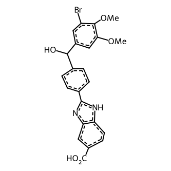 COc1cc(C(O)c2ccc(-c3nc4cc(C(=O)O)ccc4[nH]3)cc2)cc(Br)c1OC